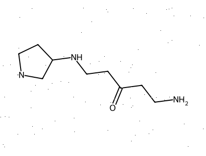 NCCC(=O)CCNC1CC[N]C1